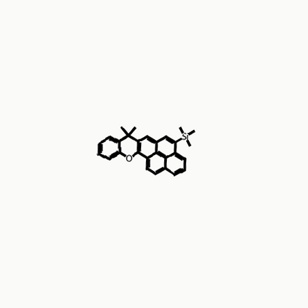 CC1(C)c2ccccc2Oc2c1cc1cc([Si](C)(C)C)c3cccc4ccc2c1c43